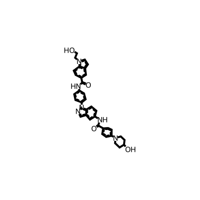 O=C(Nc1ccc2c(cnn2-c2ccc(NC(=O)c3ccc4c(ccn4CCO)c3)cc2)c1)c1ccc(N2CCC(O)CC2)cc1